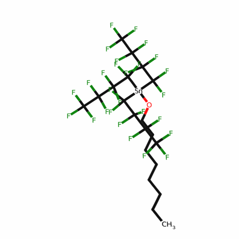 CCCCCCCC[O][Sn]([C](F)(F)C(F)(F)C(F)(F)C(F)(F)F)([C](F)(F)C(F)(F)C(F)(F)C(F)(F)F)[C](F)(F)C(F)(F)C(F)(F)C(F)(F)F